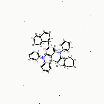 c1ccc(N2c3ccccc3B3c4sc5c(c4N(c4ccccc4)c4cc(-c6cccc7ccccc67)cc2c43)CCCC5)cc1